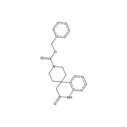 O=C1CC2(CCN(C(=O)OCc3ccccc3)CC2)c2ccccc2N1